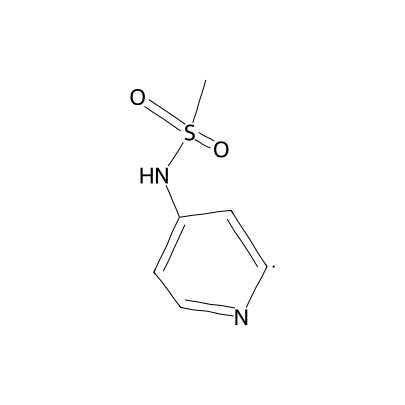 CS(=O)(=O)Nc1c[c]ncc1